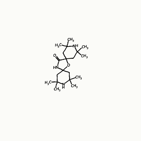 CC1(C)CC2(CC(C)(C)N1)NC(=O)C1(CC(C)(C)NC(C)(C)C1)O2